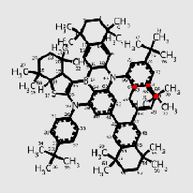 CC1(C)CCC(C)(C)C2=CC3C(C=C21)B1C2=C(S[C@H]4C2C(C)(C)CCC4(C)C)N(c2ccc(C(C)(C)C)cc2)c2cc(-c4cc5c(cc4C4=CC=CCC4)C(C)(C)CCC5(C)C)cc(c21)N3c1cc(C(C)(C)C)cc(C(C)(C)C)c1